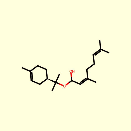 CC(C)=CCC/C(C)=C\C(O)OC(C)(C)[C@H]1CC=C(C)CC1